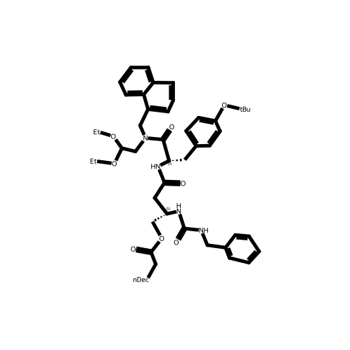 CCCCCCCCCCCC(=O)OC[C@H](CC(=O)N[C@@H](Cc1ccc(OC(C)(C)C)cc1)C(=O)N(Cc1cccc2ccccc12)CC(OCC)OCC)NC(=O)NCc1ccccc1